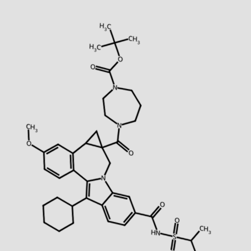 COc1ccc2c(c1)C1CC1(C(=O)N1CCCN(C(=O)OC(C)(C)C)CC1)Cn1c-2c(C2CCCCC2)c2ccc(C(=O)NS(=O)(=O)C(C)C)cc21